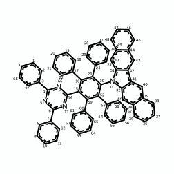 c1ccc(-c2nc(-c3ccccc3)nc(-c3c(-c4ccccc4)c(-c4ccccc4)c(-n4c5cc6ccccc6cc5c5cc6ccccc6cc54)c(-c4ccccc4)c3-c3ccccc3)n2)cc1